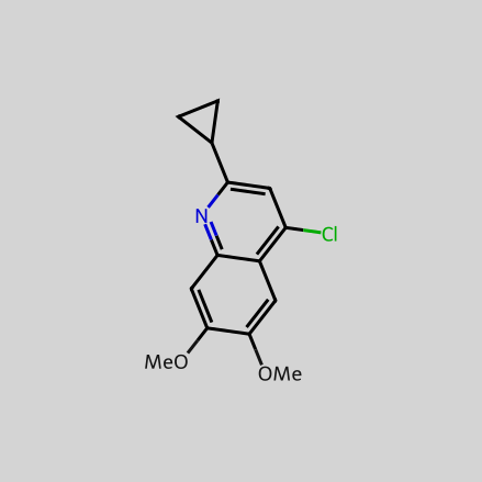 COc1cc2nc(C3CC3)cc(Cl)c2cc1OC